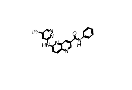 CC(C)c1cnnc(Nc2ccc3ncc(C(=O)Nc4ccccc4)cc3n2)c1